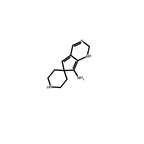 NC1=C2NCN=CC2=CC12CCNCC2